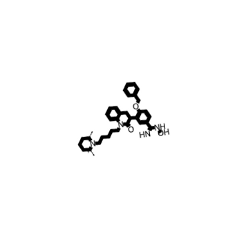 C[C@@H]1CCC[C@H](C)N1CCCCCN1C(=O)C(c2cc(C(=N)NO)ccc2OCc2ccccc2)Cc2ccccc21